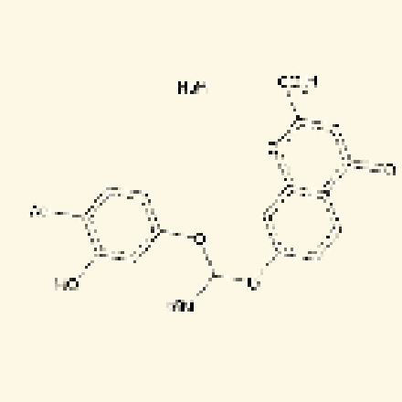 CCCCC(Oc1ccc(C(C)=O)c(O)c1)Oc1ccc2c(=O)cc(C(=O)O)oc2c1.[NaH]